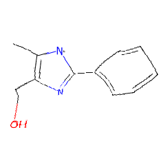 CC1=C(CO)N=C(c2ccccc2)[N]1